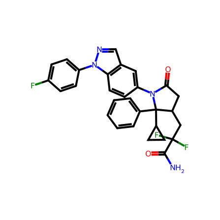 NC(=O)C(F)(F)CC1CC(=O)N(c2ccc3c(cnn3-c3ccc(F)cc3)c2)C1(c1ccccc1)C1CC1